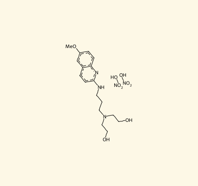 COc1ccc2nc(NCCCN(CCO)CCO)ccc2c1.O=[N+]([O-])O.O=[N+]([O-])O